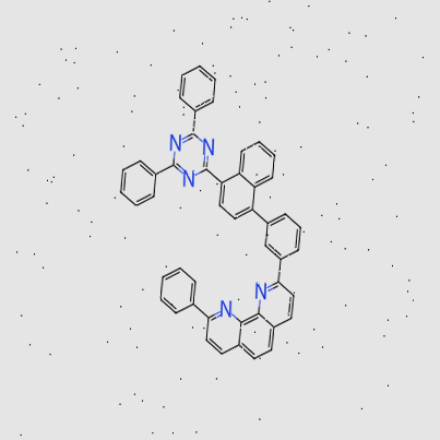 c1ccc(-c2ccc3ccc4ccc(-c5cccc(-c6ccc(-c7nc(-c8ccccc8)nc(-c8ccccc8)n7)c7ccccc67)c5)nc4c3n2)cc1